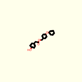 O=C(Cc1ccc(O)cc1)OCc1ccc(Oc2ccccc2)cc1